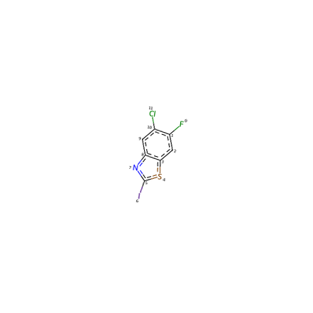 Fc1cc2sc(I)nc2cc1Cl